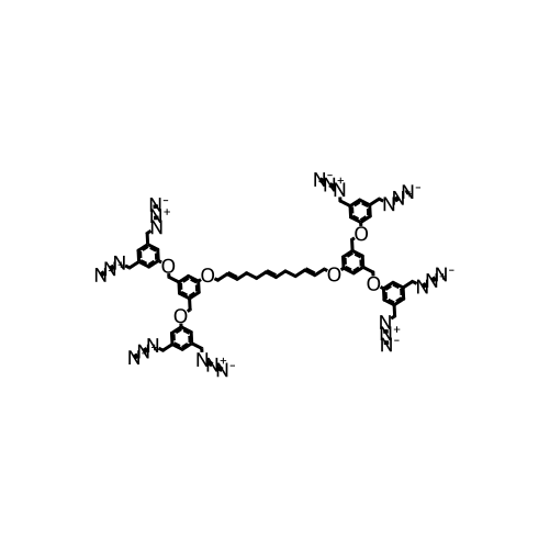 [N-]=[N+]=NCc1cc(CN=[N+]=[N-])cc(OCc2cc(COc3cc(CN=[N+]=[N-])cc(CN=[N+]=[N-])c3)cc(OC/C=C/CC/C=C/CC/C=C/COc3cc(COc4cc(CN=[N+]=[N-])cc(CN=[N+]=[N-])c4)cc(COc4cc(CN=[N+]=[N-])cc(CN=[N+]=[N-])c4)c3)c2)c1